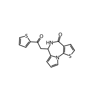 O=C(CC1NC(=O)c2ccsc2-n2cccc21)c1cccs1